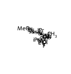 CCN(C(=O)c1cc(F)ccc1-c1cc(C2CN([C@H](CCCN3CCC(OC)CC3)C(C)C)C2)cn2c(C)ncc12)C(C)C